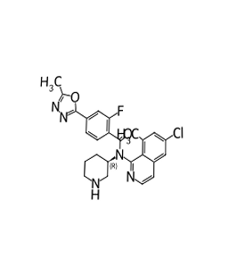 Cc1nnc(-c2ccc(C(=O)N(c3nccc4cc(Cl)cc(C)c34)[C@@H]3CCCNC3)c(F)c2)o1